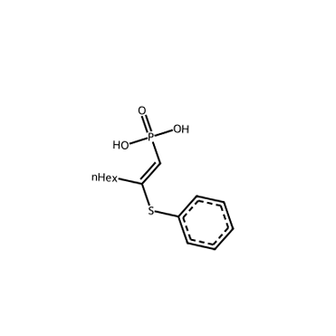 CCCCCCC(=CP(=O)(O)O)Sc1ccccc1